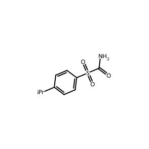 CC(C)c1ccc(S(=O)(=O)C(N)=O)cc1